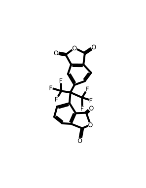 O=C1OC(=O)c2cc(C(c3cccc4c3C(=O)OC4=O)(C(F)(F)F)C(F)(F)F)ccc21